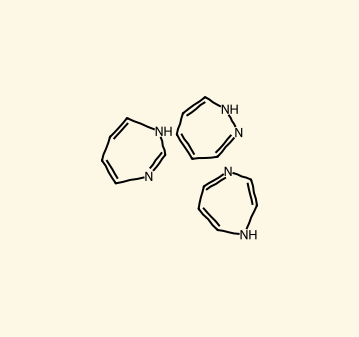 C1=CC=NNC=C1.C1=CN=CNC=C1.C1=CNC=CN=C1